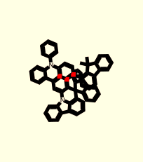 CC1(C)c2ccccc2-c2cccc(-c3ccc(N(c4ccccc4)c4ccccc4-c4ccc5c(c4)-n4c6ccccc6c6cccc(c64)C54c5ccccc5-c5ccccc54)cc3)c21